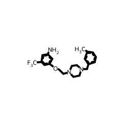 Cc1cccc(CN2CCN(CCOc3cc(N)cc(C(F)(F)F)c3)CC2)c1